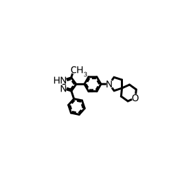 Cc1[nH]nc(-c2ccccc2)c1-c1ccc(N2CCC3(CCOCC3)C2)cc1